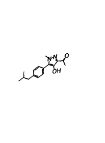 CC(=O)c1nn(C)c(-c2ccc(CC(C)C)cc2)c1O